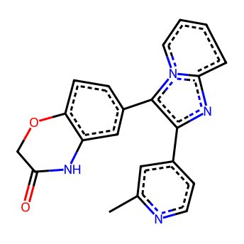 Cc1cc(-c2nc3ccccn3c2-c2ccc3c(c2)NC(=O)CO3)ccn1